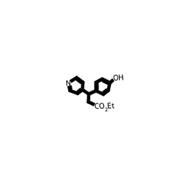 CCOC(=O)CC(c1ccncc1)c1ccc(O)cc1